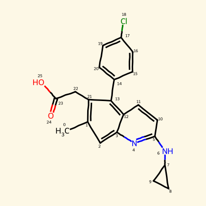 Cc1cc2nc(NC3CC3)ccc2c(-c2ccc(Cl)cc2)c1CC(=O)O